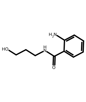 Nc1ccccc1C(=O)NCCCO